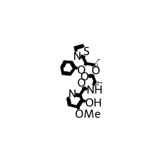 COc1ccnc(C(=O)N[C@@H](C)C(=O)O[C@@H](C)C(Oc2ccccc2)c2nccs2)c1O